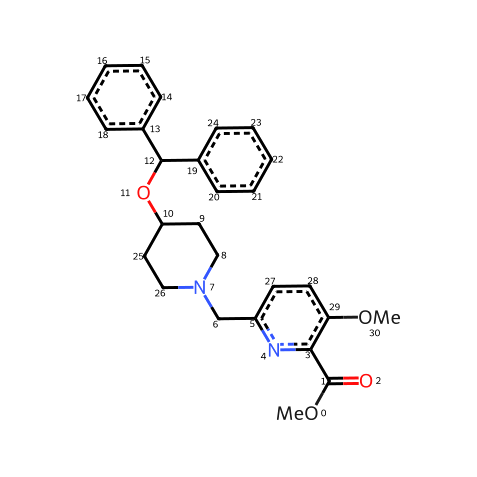 COC(=O)c1nc(CN2CCC(OC(c3ccccc3)c3ccccc3)CC2)ccc1OC